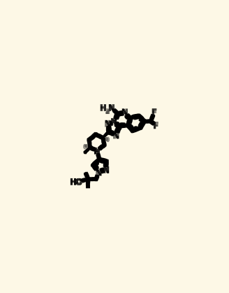 C[C@H]1CC[C@@H](c2nc3c4ccc(C(F)F)cc4nc(N)n3n2)CN1c1cnn(CC(C)(C)O)c1